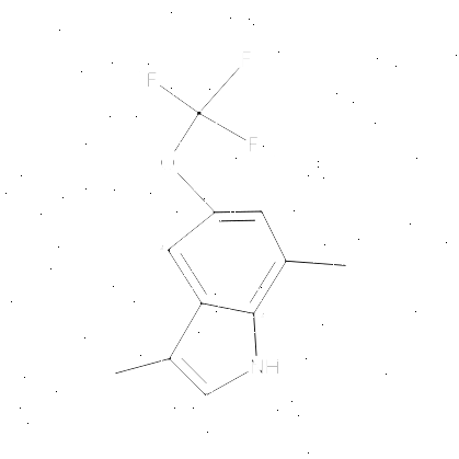 Cc1c[nH]c2c(C)cc(OC(F)(F)F)cc12